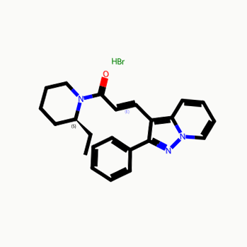 Br.CC[C@H]1CCCCN1C(=O)/C=C/c1c(-c2ccccc2)nn2ccccc12